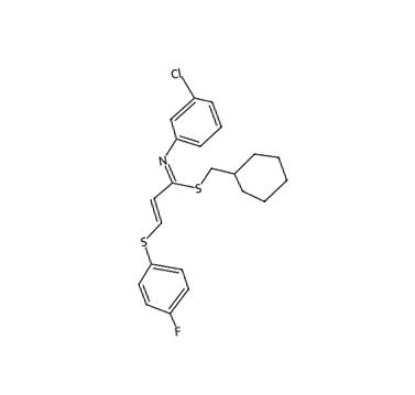 Fc1ccc(SC=CC(=Nc2cccc(Cl)c2)SCC2CCCCC2)cc1